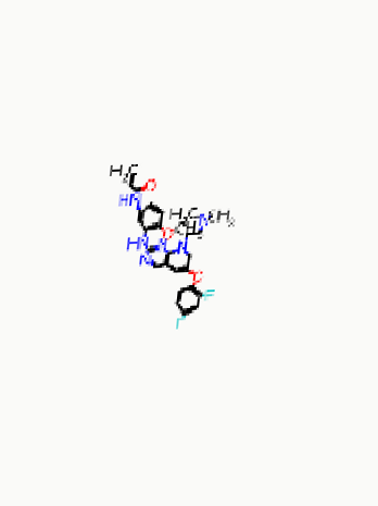 C=CC(=O)Nc1ccc(OC)c(Nc2ncc3c(n2)N(CCN(C)C)CC(Oc2ccc(F)cc2F)=C3)c1